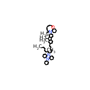 C=C\C=C/C=C\C(C)=C(\C=C/C/C=C/c1ccc2c(c1)C(C)(C)c1cc(N3C(=C)/C=C\C=C/COC4=C3CCCC4)ccc1-2)N1C2=C(CCC=C2)N(C2=CCCC=C2)C2=C1C=CCC2